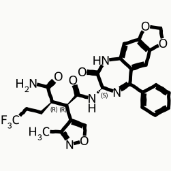 Cc1nocc1[C@H](C(=O)N[C@H]1N=C(c2ccccc2)c2cc3c(cc2NC1=O)OCO3)[C@@H](CCC(F)(F)F)C(N)=O